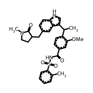 COc1cc(C(=O)NS(=O)(=O)c2ccccc2C)ccc1C(C)c1c[nH]c2ccc(CC3CCN(C)C3=O)cc12